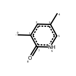 [CH2]c1cc(C)c[nH]c1=O